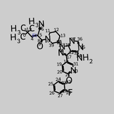 CC(C)(C)/C=C(\C#N)C(=O)N1CCC[C@@H](n2nc(-c3ccc(Oc4ccccc4F)nc3)c3c(N)ncnc32)C1